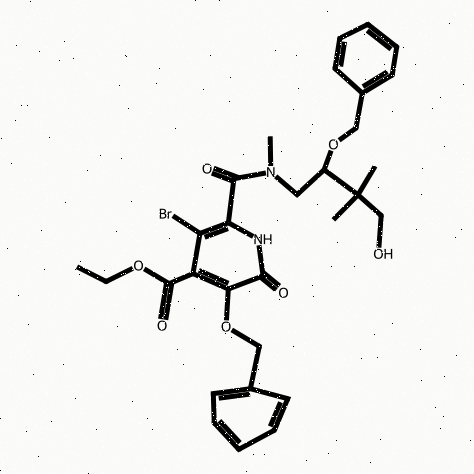 CCOC(=O)c1c(Br)c(C(=O)N(C)CC(OCc2ccccc2)C(C)(C)CO)[nH]c(=O)c1OCc1ccccc1